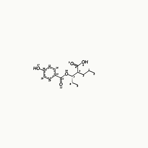 CCCC(C(=O)O)[C@H](CC)OC(=O)c1ccc(O)cc1